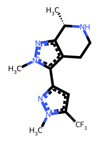 C[C@@H]1NCCc2c1nn(C)c2-c1cc(C(F)(F)F)n(C)n1